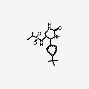 CC(C)S(=O)(=O)NC1CNC(=O)NC1c1ccc(C(C)(C)C)cc1